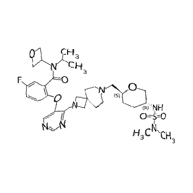 CC(C)N(C(=O)c1cc(F)ccc1Oc1cncnc1N1CC2(CCN(C[C@@H]3CC[C@@H](NS(=O)(=O)N(C)C)CO3)CC2)C1)C1COC1